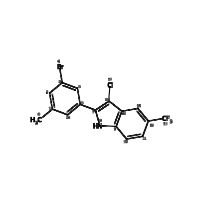 Cc1cc(Br)cc(-c2[nH]c3ccc(C(F)(F)F)cc3c2Cl)c1